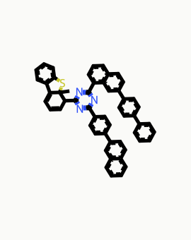 CC12Sc3ccccc3C1=CC=CC2c1nc(-c2ccc(-c3ccc4ccccc4c3)cc2)nc(-c2cccc3ccc(-c4ccc(-c5ccccc5)cc4)cc23)n1